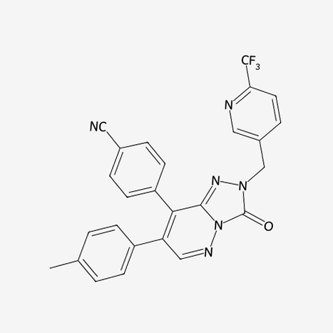 Cc1ccc(-c2cnn3c(=O)n(Cc4ccc(C(F)(F)F)nc4)nc3c2-c2ccc(C#N)cc2)cc1